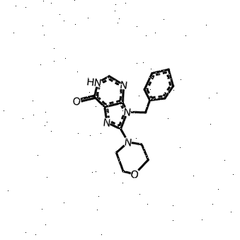 O=c1[nH]cnc2c1nc(N1CCOCC1)n2Cc1ccccc1